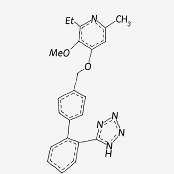 CCc1nc(C)cc(OCc2ccc(-c3ccccc3-c3nnn[nH]3)cc2)c1OC